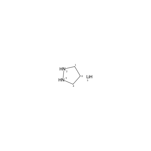 C1CNNC1.[LiH]